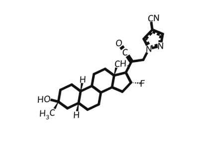 C[C@@]1(O)CC[C@@H]2C3CC[C@@]4(C)C(C[C@@H](F)C4C(=C=O)Cn4cc(C#N)cn4)C3CC[C@@H]2C1